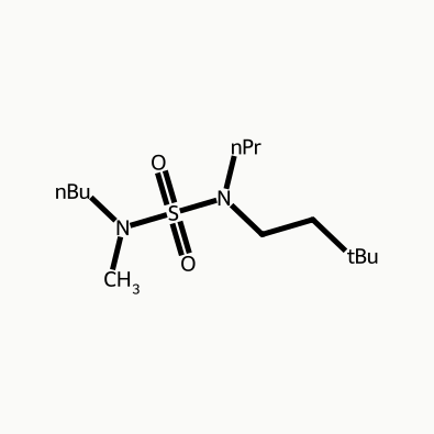 CCCCN(C)S(=O)(=O)N(CCC)CCC(C)(C)C